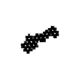 N=C1C=C(c2c3ccccc3c(-c3cccc4ccccc34)c3ccccc23)C=C/C1=N/Nc1ccc(-c2cncc3ccccc23)cc1